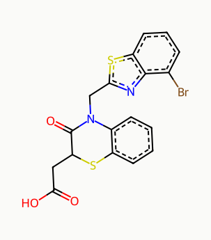 O=C(O)CC1Sc2ccccc2N(Cc2nc3c(Br)cccc3s2)C1=O